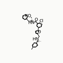 Cc1ccc([C@@H](C)NCc2ccc(-c3ccc(Cl)c(C(=O)N[C@@H](CO)Cc4ccccc4)c3)o2)cc1